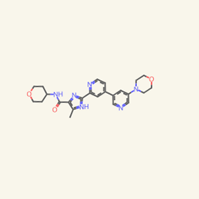 Cc1[nH]c(-c2cc(-c3cncc(N4CCOCC4)c3)ccn2)nc1C(=O)NC1CCOCC1